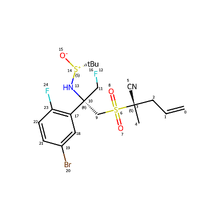 C=CC[C@@](C)(C#N)S(=O)(=O)C[C@@](CF)(N[S@+]([O-])C(C)(C)C)c1cc(Br)ccc1F